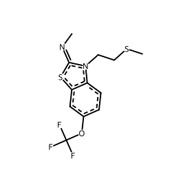 CN=c1sc2cc(OC(F)(F)F)ccc2n1CCSC